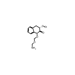 CCO[C@H]1Cc2ccccc2N(OCOCN)C1=O